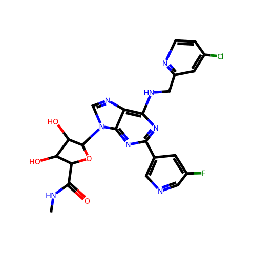 CNC(=O)C1OC(n2cnc3c(NCc4cc(Cl)ccn4)nc(-c4cncc(F)c4)nc32)C(O)C1O